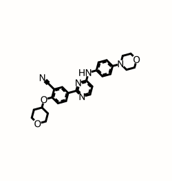 N#Cc1cc(-c2nccc(Nc3ccc(N4CCOCC4)cc3)n2)ccc1OC1CCOCC1